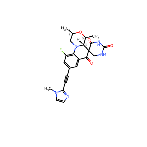 C[C@@H]1CN2c3c(F)cc(C#Cc4nccn4C)cc3C(=O)C3(CNC(=O)NC3=O)[C@H]2[C@H](C)O1